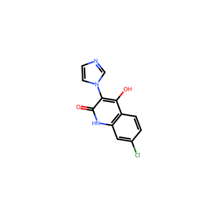 O=c1[nH]c2cc(Cl)ccc2c(O)c1-n1ccnc1